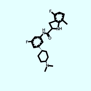 Cc1ccc(F)c2c1NC(C(=O)Nc1cc(F)cc([C@H]3CC[C@@H](N(C)C)CC3)c1)C2